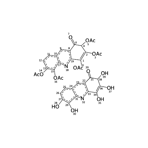 CC(=O)OC1=C(OC(C)=O)C(OC(C)=O)C(=O)c2cc3ccc(OC(C)=O)c(OC(C)=O)c3nc21.O=C1c2cc3ccc(O)c(O)c3nc2C(O)=C(O)C1O